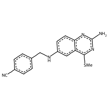 CSc1nc(N)nc2ccc(NCc3ccc(C#N)cc3)cc12